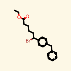 CCOC(=O)CCCCC(Br)c1ccc(Cc2ccccc2)cc1